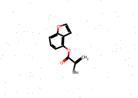 C=C(C(=O)Oc1cccc2occc12)C(C)(C)C